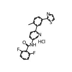 Cc1ccc(-c2nccs2)cc1-c1ccc(NC(=O)c2c(F)cccc2F)cn1.Cl